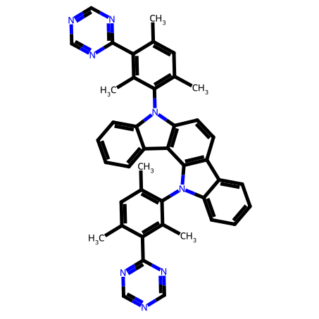 Cc1cc(C)c(-n2c3ccccc3c3c2ccc2c4ccccc4n(-c4c(C)cc(C)c(-c5ncncn5)c4C)c23)c(C)c1-c1ncncn1